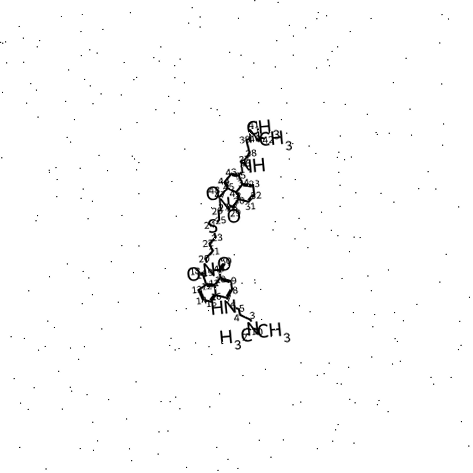 CN(C)CCCNc1ccc2c3c(cccc13)C(=O)N(CCCCSCCN1C(=O)c3cccc4c(NCCCN(C)C)ccc(c34)C1=O)C2=O